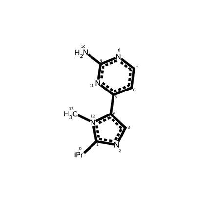 CC(C)c1ncc(-c2ccnc(N)n2)n1C